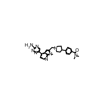 CN(C)C(=O)c1ccc(C2CCN(Cc3cc4c(-c5cnc(N)nn5)ccnc4n3C)CC2)cc1